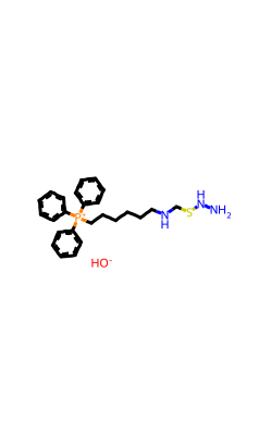 NNSCNCCCCCC[P+](c1ccccc1)(c1ccccc1)c1ccccc1.[OH-]